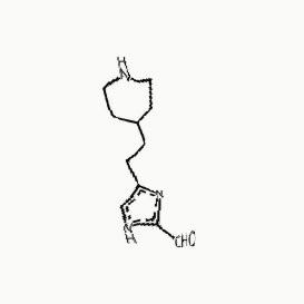 O=Cc1nc(CCC2CCNCC2)c[nH]1